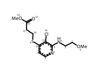 COCCNc1nccc(SCCC(=O)OC)c1Cl